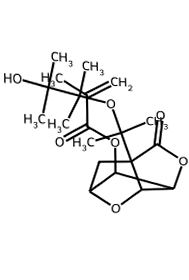 C=C(C)C(=O)OC1C2CC3(C(C)(C)OC(C)(C)C(C)(C)O)C(=O)OC1C3O2